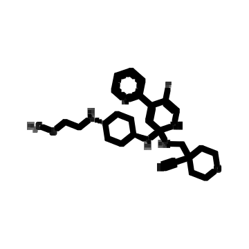 COCCN[C@H]1CC[C@H](NC2(NCC3(C#N)CCOCC3)C=C(c3ccccn3)C(F)=CN2)CC1